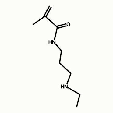 C=C(C)C(=O)NCCCNCC